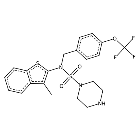 Cc1c(N(Cc2ccc(OC(F)(F)F)cc2)S(=O)(=O)N2CCNCC2)sc2ccccc12